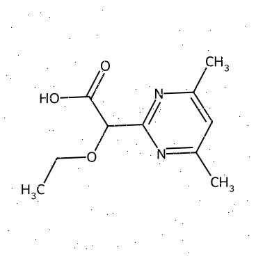 CCOC(C(=O)O)c1nc(C)cc(C)n1